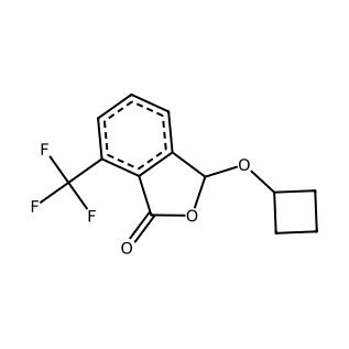 O=C1OC(OC2CCC2)c2cccc(C(F)(F)F)c21